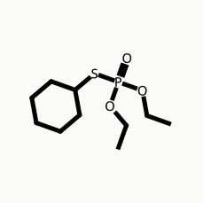 CCOP(=O)(OCC)SC1CCCCC1